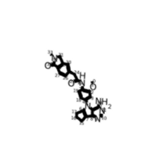 COc1cc(-n2c3c(c4ncnc(N)c42)CCC3)ccc1NC(=O)Cc1ccc2c(c1)CN(C)C2=O